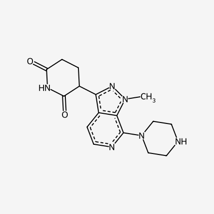 Cn1nc(C2CCC(=O)NC2=O)c2ccnc(N3CCNCC3)c21